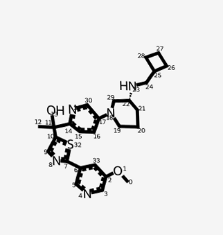 COc1cncc(-c2ncc(C(C)(O)c3ccc(N4CCC[C@@H](NCC5CCC5)C4)cn3)s2)c1